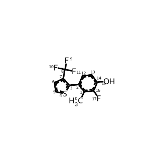 Cc1c(-c2sccc2C(F)(F)F)ccc(O)c1F